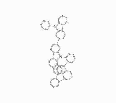 c1ccc(-n2c3ccccc3c3ccc(-c4ccc5c6ccc7ccccc7c6n(-c6ccccc6-c6ccc7c8c(cccc68)-c6ccccc6-7)c5c4)cc32)cc1